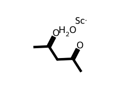 CC(=O)CC(C)=O.O.[Sc]